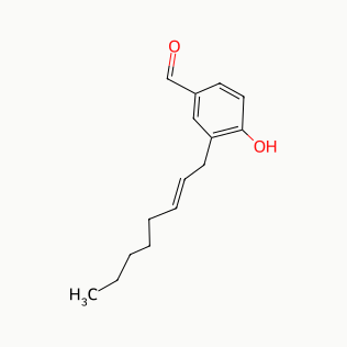 CCCCCC=CCc1cc(C=O)ccc1O